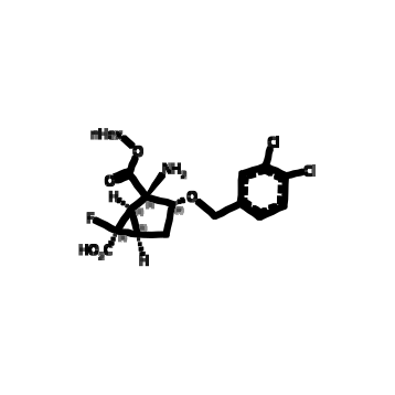 CCCCCCOC(=O)[C@@]1(N)[C@H]2[C@@H](C[C@H]1OCc1ccc(Cl)c(Cl)c1)[C@]2(F)C(=O)O